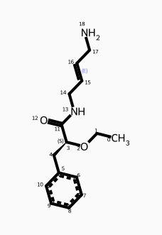 CCO[C@@H](Cc1ccccc1)C(=O)NC/C=C/CN